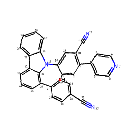 Cc1cc(-c2ccncc2)c(C#N)cc1-n1c2ccccc2c2cccc(-c3ccc(C#N)cc3)c21